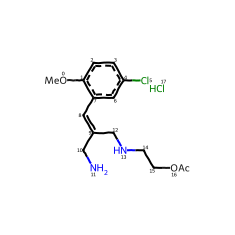 COc1ccc(Cl)cc1C=C(CN)CNCCOC(C)=O.Cl